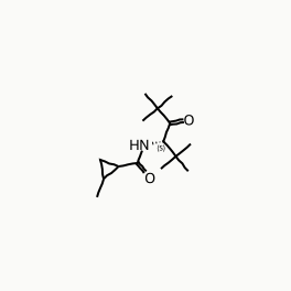 CC1CC1C(=O)N[C@H](C(=O)C(C)(C)C)C(C)(C)C